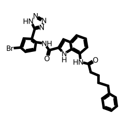 O=C(CCCCc1ccccc1)Nc1cccc2cc(C(=O)Nc3ccc(Br)cc3-c3nnn[nH]3)[nH]c12